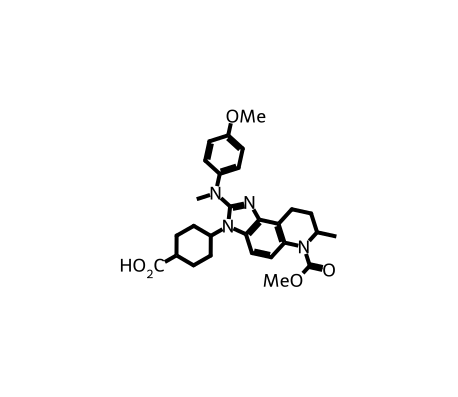 COC(=O)N1c2ccc3c(nc(N(C)c4ccc(OC)cc4)n3C3CCC(C(=O)O)CC3)c2CCC1C